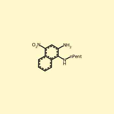 CCCCCNc1c(N)cc([N+](=O)[O-])c2ccccc12